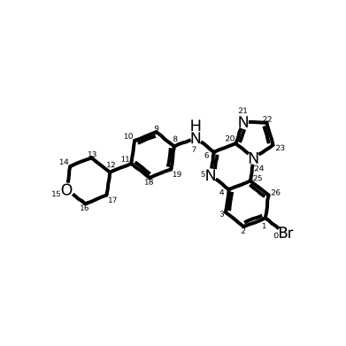 Brc1ccc2nc(Nc3ccc(C4CCOCC4)cc3)c3nccn3c2c1